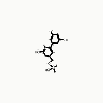 CC(C)(C)[Si](C)(C)OCc1cc(O)nc(-c2cc(Cl)cc(Cl)c2)c1